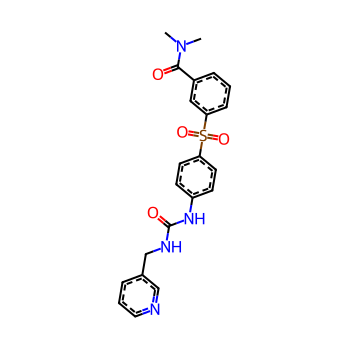 CN(C)C(=O)c1cccc(S(=O)(=O)c2ccc(NC(=O)NCc3cccnc3)cc2)c1